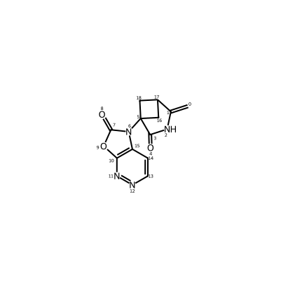 C=C1NC(=O)C2(n3c(=O)oc4nnccc43)CC1C2